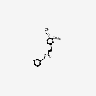 COc1cc(/C=C/C(=O)OCc2ccccc2)ccc1OCO